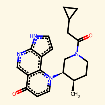 C[C@@H]1CCN(C(=O)CC2CC2)C[C@@H]1n1ccc(=O)c2cnc3[nH]ccc3c21